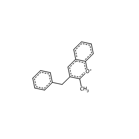 Cc1[o+]c2ccccc2cc1Cc1ccccc1